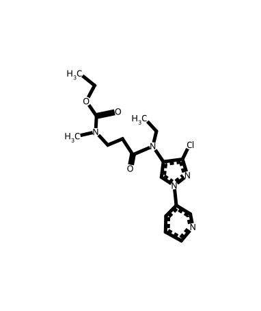 CCOC(=O)N(C)CCC(=O)N(CC)c1cn(-c2cccnc2)nc1Cl